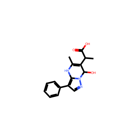 CC1=C(C(C)C(=O)O)C(O)n2ncc(-c3ccccc3)c2N1